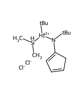 C[SiH](C)[Hf+2]([N](C1=CC=CC1)C(C)(C)C)[C](C)(C)C.[Cl-].[Cl-]